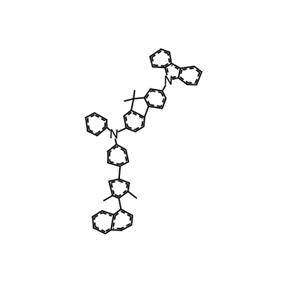 Cc1cc(-c2ccc(N(c3ccccc3)c3ccc4c(c3)C(C)(C)c3cc(-n5c6ccccc6c6ccccc65)ccc3-4)cc2)cc(C)c1-c1cccc2ccccc12